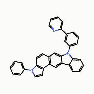 c1ccc(-n2ccc3c4cc5c6ccccc6n(-c6cccc(-c7ccccn7)c6)c5cc4ccc32)cc1